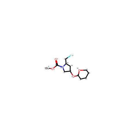 CC(C)(C)OC(=O)N1CC(OC2CCCCO2)CC1CF